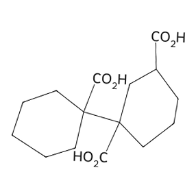 O=C(O)C1CCCC(C(=O)O)(C2(C(=O)O)CCCCC2)C1